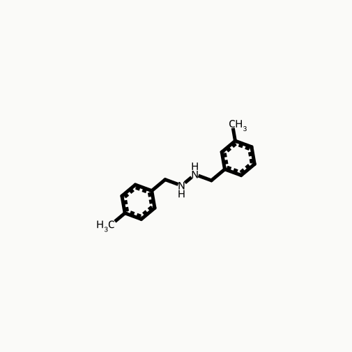 Cc1ccc(CNNCc2cccc(C)c2)cc1